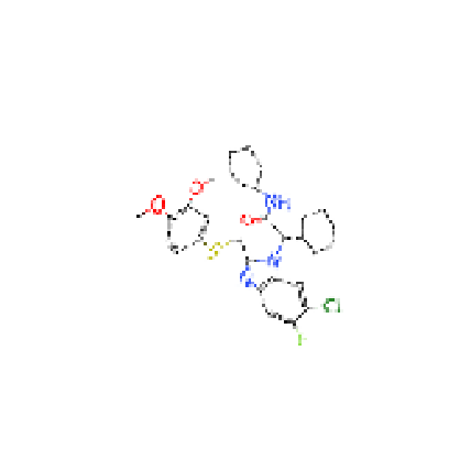 COc1ccc(SCc2nc3cc(F)c(Cl)cc3n2C(C(=O)NC2CCCCC2)C2CCCCC2)cc1OC